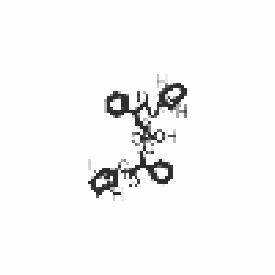 CN1[C@@H]2CC[C@H]1C[C@@H](OC(=O)C(COP(=O)(O)OCC(C(=O)O[C@H]1C[C@H]3CC[C@@H](C1)N3C)c1ccccc1)c1ccccc1)C2